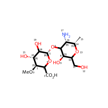 CO[C@@H]1C(C(=O)O)O[C@@H](OC2[C@H](O)C(CO)O[C@@H](C)[C@H]2N)C(O)[C@H]1O